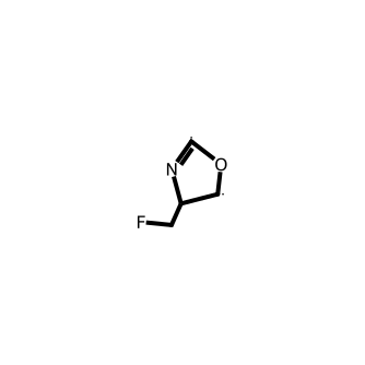 FCC1[CH]O[C]=N1